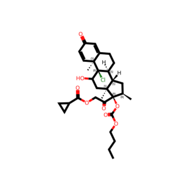 CCCCOC(=O)O[C@]1(C(=O)COC(=O)C2CC2)[C@H](C)C[C@H]2[C@@H]3CCC4=CC(=O)C=C[C@]4(C)[C@@]3(Cl)C(O)C[C@@]21C